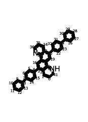 C1=Cc2c(-c3ccc(-c4ccccc4)cc3)cc3c(cc(-c4ccc(-c5ccccc5)cc4)c4cccnc43)c2NC1